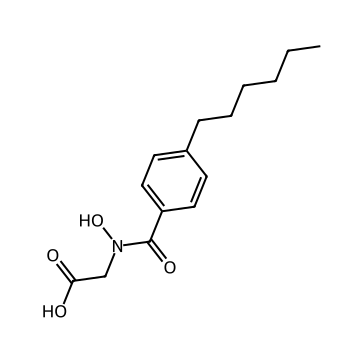 CCCCCCc1ccc(C(=O)N(O)CC(=O)O)cc1